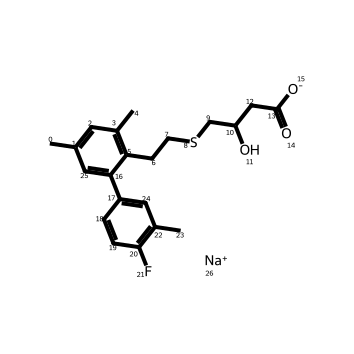 Cc1cc(C)c(CCSCC(O)CC(=O)[O-])c(-c2ccc(F)c(C)c2)c1.[Na+]